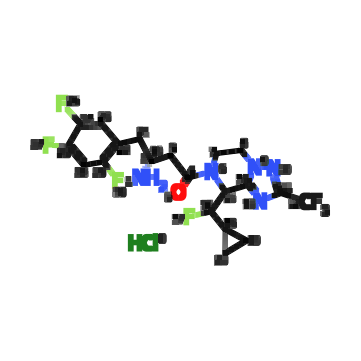 Cl.N[C@@H](CC(=O)N1CCn2nc(C(F)(F)F)nc2C1C(F)C1CC1)Cc1cc(F)c(F)cc1F